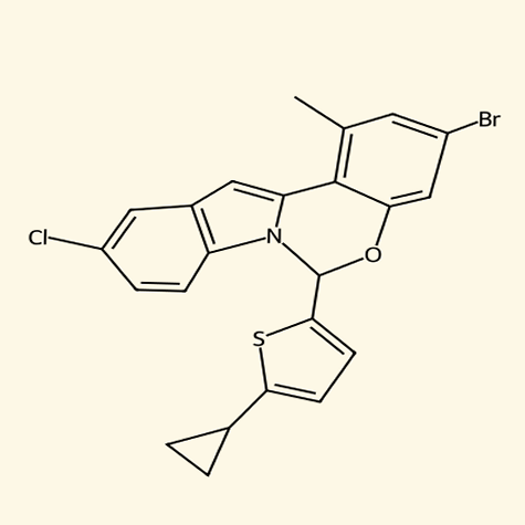 Cc1cc(Br)cc2c1-c1cc3cc(Cl)ccc3n1C(c1ccc(C3CC3)s1)O2